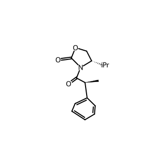 CC(C)[C@H]1COC(=O)N1C(=O)[C@@H](C)c1ccccc1